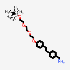 CC(C)(C)[Si](C)(C)OCCOCCOCCOc1ccc(C=Cc2ccc(CN)cc2)cc1